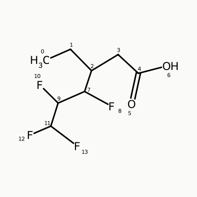 CCC(CC(=O)O)C(F)C(F)C(F)F